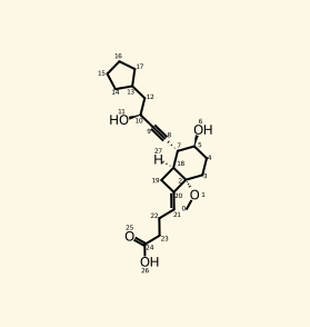 CO[C@@]12CC[C@H](O)[C@@H](C#C[C@@H](O)CC3CCCC3)[C@@H]1CC2=CCCC(=O)O